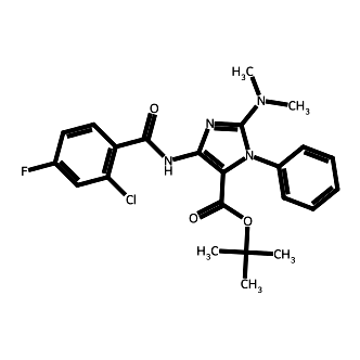 CN(C)c1nc(NC(=O)c2ccc(F)cc2Cl)c(C(=O)OC(C)(C)C)n1-c1ccccc1